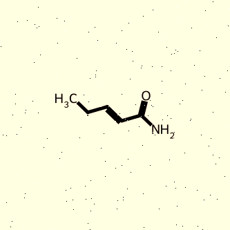 C[CH]/C=C/C(N)=O